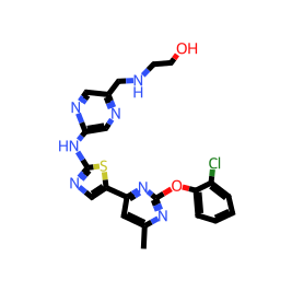 Cc1cc(-c2cnc(Nc3cnc(CNCCO)cn3)s2)nc(Oc2ccccc2Cl)n1